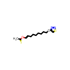 CCCCCCCCC=COC(C)=S.c1csnn1